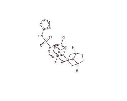 O=S(=O)(Nc1cscn1)c1ccc(O[C@H]2C[C@H]3CC[C@@H](C2)N3Cc2cc(Cl)ccc2F)c(Cl)c1